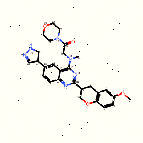 COc1ccc2c(c1)CC(c1nc(N(C)CC(=O)N3CCOCC3)c3cc(C4C=NNC4)ccc3n1)CO2